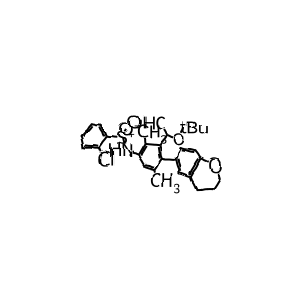 Cc1cc(N[S+]([O-])c2ccccc2Cl)c(C)c(C(C=O)OC(C)(C)C)c1-c1ccc2c(c1)CCCO2